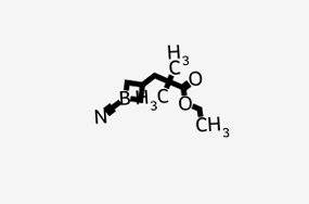 CCOC(=O)C(C)(C)CC1CB(C#N)C1